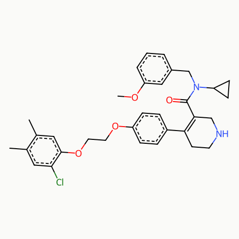 COc1cccc(CN(C(=O)C2=C(c3ccc(OCCOc4cc(C)c(C)cc4Cl)cc3)CCNC2)C2CC2)c1